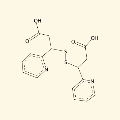 O=C(O)CC(SSC(CC(=O)O)c1ccccn1)c1ccccn1